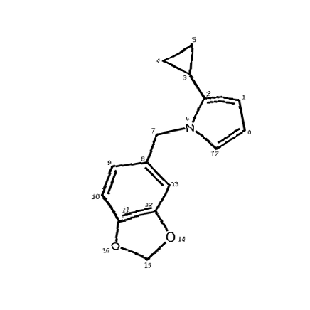 c1cc(C2CC2)n(Cc2ccc3c(c2)OCO3)c1